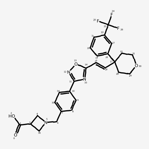 O=C(O)C1CN(Cc2ccc(-c3noc(C=CC4(c5cccc(C(F)(F)F)c5)CCOCC4)n3)cc2)C1